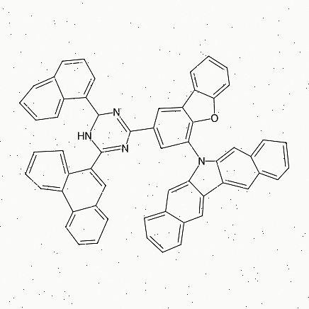 c1ccc2cc3c(cc2c1)c1cc2ccccc2cc1n3-c1cc(C2=NC(c3cccc4ccccc34)NC(c3cc4ccccc4c4ccccc34)=N2)cc2c1oc1ccccc12